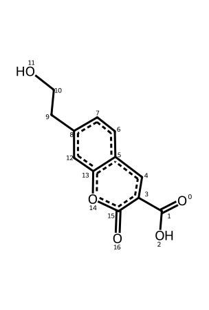 O=C(O)c1cc2ccc(CCO)cc2oc1=O